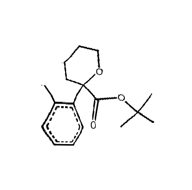 [CH2]c1ccccc1C1(C(=O)OC(C)(C)C)C[CH]CCO1